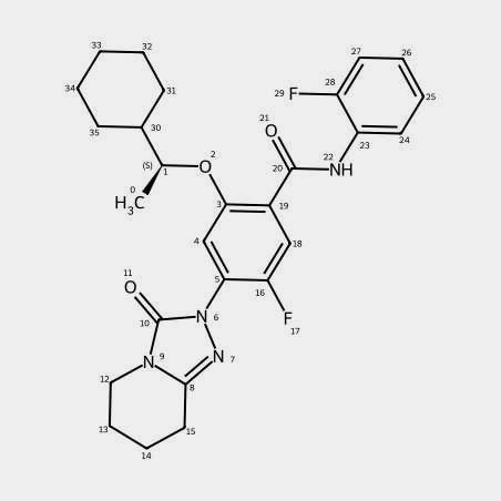 C[C@H](Oc1cc(-n2nc3n(c2=O)CCCC3)c(F)cc1C(=O)Nc1ccccc1F)C1CCCCC1